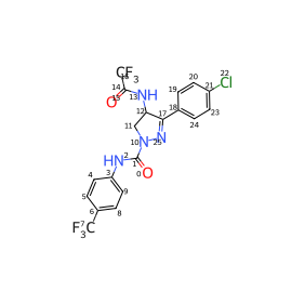 O=C(Nc1ccc(C(F)(F)F)cc1)N1CC(NC(=O)C(F)(F)F)C(c2ccc(Cl)cc2)=N1